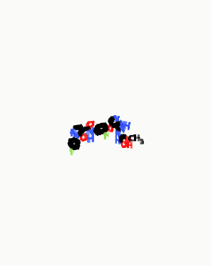 COCC(CO)Nc1n[nH]c2nccc(Oc3ccc(NC(=O)c4ccnn(-c5ccc(F)cc5)c4=O)cc3F)c12